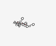 C[C@H]1[C@H](OCc2ccccc2)[C@@H](OCc2ccccc2)[C@@]2(c3ccc(Cl)c(Cc4ccc(OCc5ccccc5)cc4)c3)OC[C@]1(C(C)(C)O)O2